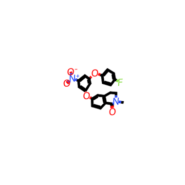 CN1CCc2cc(Oc3cc(Oc4ccc(F)cc4)cc([N+](=O)[O-])c3)ccc2C1=O